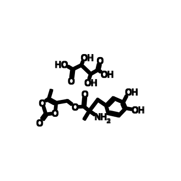 Cc1oc(=O)oc1COC(=O)C(C)(N)Cc1ccc(O)c(O)c1.O=C(O)C(O)C(O)C(=O)O